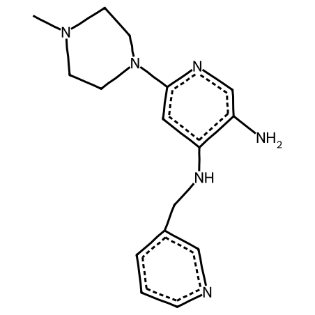 CN1CCN(c2cc(NCc3cccnc3)c(N)cn2)CC1